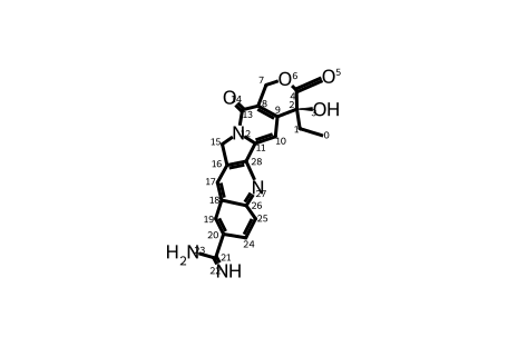 CC[C@@]1(O)C(=O)OCc2c1cc1n(c2=O)Cc2cc3cc(C(=N)N)ccc3nc2-1